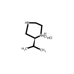 CC(C)[C@H]1CNCCN1.Cl.Cl